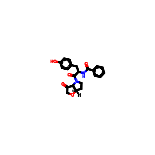 O=C(NC(Cc1ccc(O)cc1)C(=O)N1CC[C@@H]2OCC(=O)C21)c1ccccc1